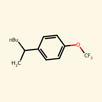 [CH2]C(CCCC)c1ccc(OC(F)(F)F)cc1